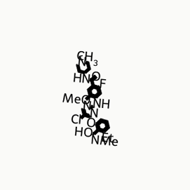 CCc1cccc(Oc2nc(Nc3cc(F)c(C(=O)NC4CCN(C)CC4)cc3OC)ncc2Cl)c1C(O)NC